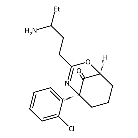 CCC(N)CCC1=N[C@]2(c3ccccc3Cl)CCC[C@H](O1)C2=O